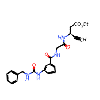 C#C[C@H](CC(=O)OCC)NC(=O)CNC(=O)c1cccc(NC(=O)NCc2ccccc2)c1